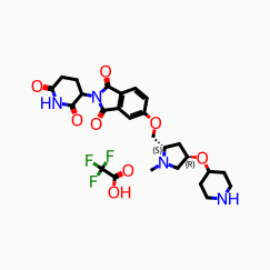 CN1C[C@H](OC2CCNCC2)C[C@H]1COc1ccc2c(c1)C(=O)N(C1CCC(=O)NC1=O)C2=O.O=C(O)C(F)(F)F